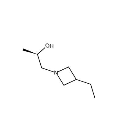 CCC1CN(C[C@@H](C)O)C1